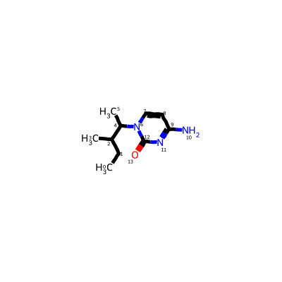 CCC(C)C(C)n1ccc(N)nc1=O